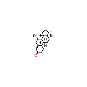 CC[C@@H]1CC2=CC(=O)CC[C@@H]2[C@H]2CC[C@]3(CC)[C@@H](C)CC[C@H]3[C@H]12